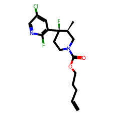 C=CCCCOC(=O)N1CC[C@](F)(c2cc(Cl)cnc2F)[C@@H](C)C1